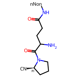 [C-]#[N+][C@@H]1CCCN1C(=O)C(N)CCC(=O)NCCCCCCCCC